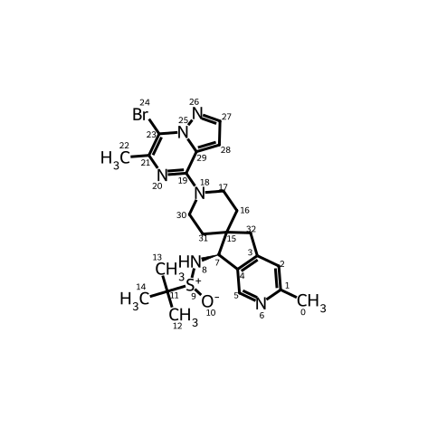 Cc1cc2c(cn1)[C@@H](N[S+]([O-])C(C)(C)C)C1(CCN(c3nc(C)c(Br)n4nccc34)CC1)C2